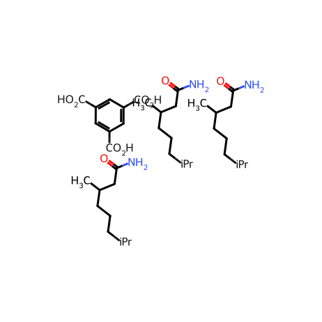 CC(C)CCCC(C)CC(N)=O.CC(C)CCCC(C)CC(N)=O.CC(C)CCCC(C)CC(N)=O.O=C(O)c1cc(C(=O)O)cc(C(=O)O)c1